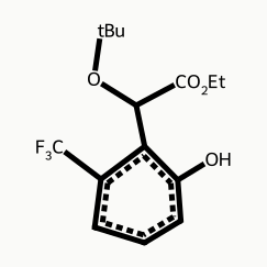 CCOC(=O)C(OC(C)(C)C)c1c(O)cccc1C(F)(F)F